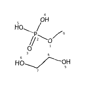 COP(=O)(O)O.OCCO